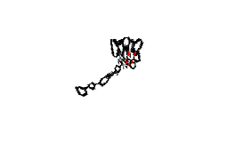 c1ccc(-c2ccc(-c3ccc(-c4ccc(-c5nc(-c6ccccc6)nc(-n6c7ccccc7c7ccc8c9ccccc9n(-c9ccccc9-c9ccccc9)c8c76)n5)cc4)cc3)cc2)cc1